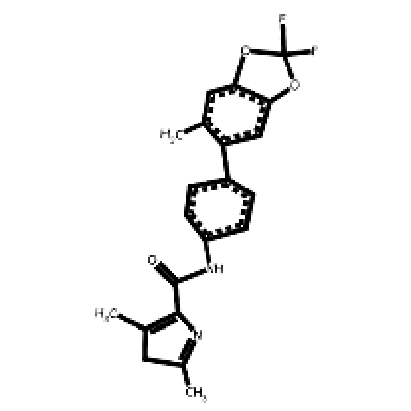 CC1=NC(C(=O)Nc2ccc(-c3cc4c(cc3C)OC(F)(F)O4)cc2)=C(C)C1